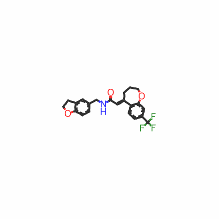 O=C(/C=C1\CCCOc2cc(C(F)(F)F)ccc21)NCc1ccc2c(c1)CCO2